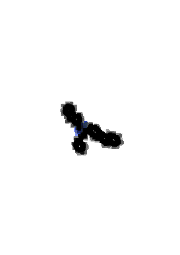 c1ccc(-c2cc(-c3ccc4c(c3)Cc3ccccc3-4)nc(-c3ccc4c(c3)Cc3ccccc3-4)n2)cc1